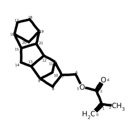 C=C(C)C(=O)OCC1CC2CC1C1C2CC2C3CCC(C3)C21